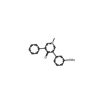 CSc1cccc(-c2cn(C)cc(-c3ccccc3)c2=O)c1